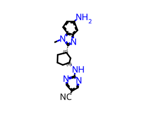 Cn1c([C@H]2CCC[C@@H](Nc3ncc(C#N)cn3)C2)nc2cc(N)ccc21